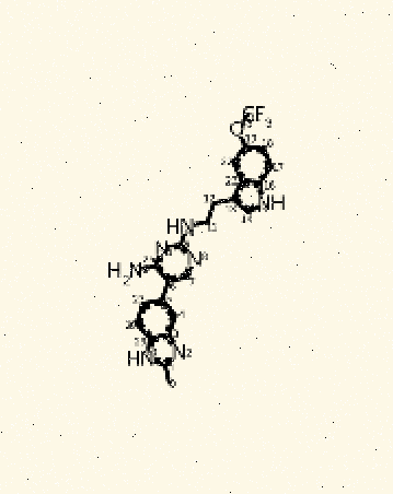 Cc1nc2cc(-c3cnc(NCCc4c[nH]c5ccc(OC(F)(F)F)cc45)nc3N)ccc2[nH]1